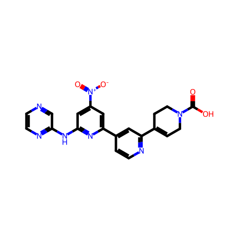 O=C(O)N1CC=C(c2cc(-c3cc([N+](=O)[O-])cc(Nc4cnccn4)n3)ccn2)CC1